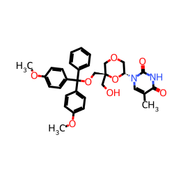 COc1ccc(C(OC[C@@]2(CO)COC[C@H](n3cc(C)c(=O)[nH]c3=O)O2)(c2ccccc2)c2ccc(OC)cc2)cc1